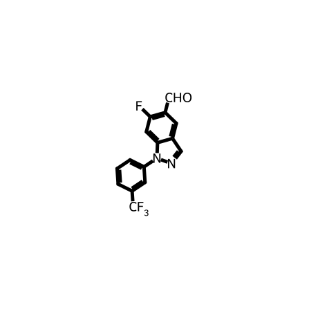 O=Cc1cc2cnn(-c3cccc(C(F)(F)F)c3)c2cc1F